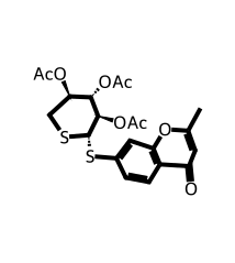 CC(=O)O[C@@H]1[C@@H](OC(C)=O)[C@H](Sc2ccc3c(=O)cc(C)oc3c2)SC[C@H]1OC(C)=O